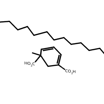 CC1(C(=O)O)C=CC=C(C(=O)O)C1.CCCCCCCCCCCCC